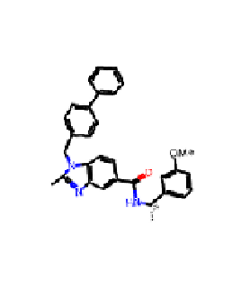 COc1cccc([C@H](C)NC(=O)c2ccc3c(c2)nc(C)n3Cc2ccc(-c3ccccc3)cc2)c1